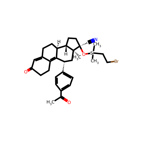 CC(=O)c1ccc([C@H]2C[C@@]3(C)[C@@H](CC[C@@]3(C#N)O[Si](C)(C)CCBr)[C@@H]3CCC4=CC(=O)CCC4=C32)cc1